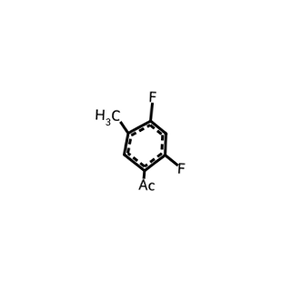 CC(=O)c1cc(C)c(F)cc1F